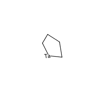 C1C[CH2][Ta][CH2]1